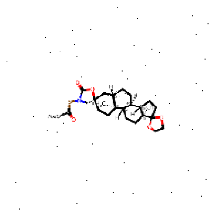 COC(=O)SN1C[C@]2(CC[C@@]3(C)[C@@H](CC[C@@H]4[C@@H]3CC[C@@]3(C)[C@H]4CCC34OCCO4)C2)OC1=O